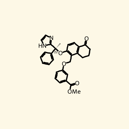 COC(=O)c1cccc(OCc2c(O[C@@](C)(c3ccccc3)c3ncc[nH]3)ccc3c2CCCC3=O)c1